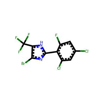 Fc1cc(Cl)cc(Cl)c1-c1nc(Br)c(C(F)(F)F)[nH]1